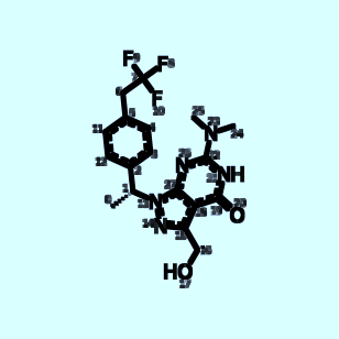 C[C@H](c1ccc(CC(F)(F)F)cc1)n1nc(CO)c2c(=O)[nH]c(N(C)C)nc21